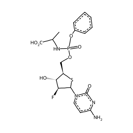 CC(NP(=O)(OC[C@H]1SC(n2ccc(N)nc2=O)[C@@H](F)[C@@H]1O)Oc1ccccc1)C(=O)O